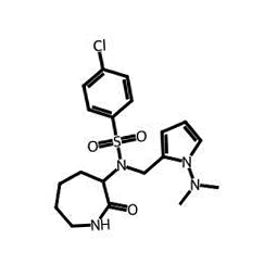 CN(C)n1cccc1CN(C1CCCCNC1=O)S(=O)(=O)c1ccc(Cl)cc1